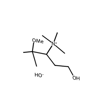 COC(C)(C)C(CCO)[N+](C)(C)C.[OH-]